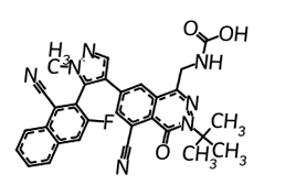 Cn1ncc(-c2cc(C#N)c3c(=O)n(C(C)(C)C)nc(CNC(=O)O)c3c2)c1-c1c(F)cc2ccccc2c1C#N